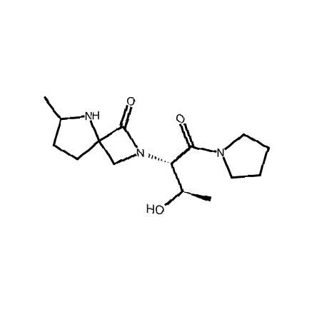 CC1CCC2(CN([C@H](C(=O)N3CCCC3)[C@@H](C)O)C2=O)N1